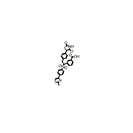 Cc1nc(-c2ccc(S(=O)(=O)N(Cc3ccc(C4SC(=O)NC4=O)cc3)c3cccc(C(=O)O)c3)cc2)cs1